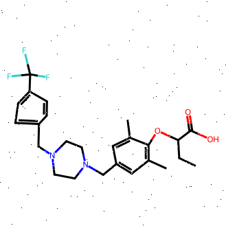 CCC(Oc1c(C)cc(CN2CCN(Cc3ccc(C(F)(F)F)cc3)CC2)cc1C)C(=O)O